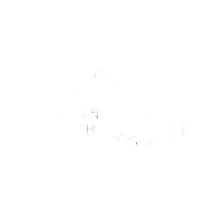 CC1(C)CCCCC1(C)NC1(C)CCCCC1(C)C